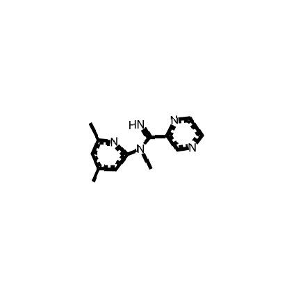 Cc1cc(C)nc(N(C)C(=N)c2cnccn2)c1